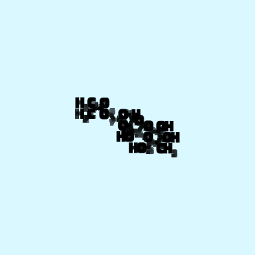 C=C(C)C(=O)OCCC1OC[C@H]2O[C@H](OC3O[C@H](CO)C(C)C(O)C3O)C[C@@H](O)[C@@H]2O1